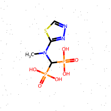 CN(c1nncs1)C(P(=O)(O)O)P(=O)(O)O